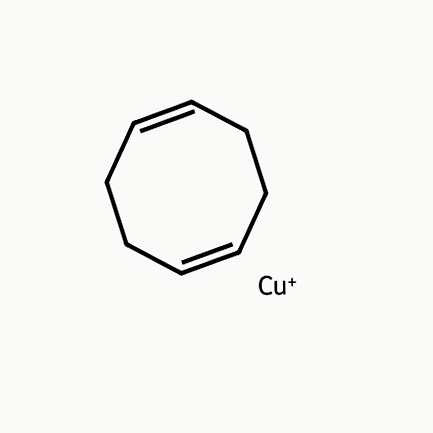 C1=CCCC=CCC1.[Cu+]